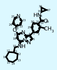 Cc1cc(-c2cnn3c(NCC4CCCCCC4)cc(Oc4ccncc4)nc23)ccc1C(=O)NC1CC1